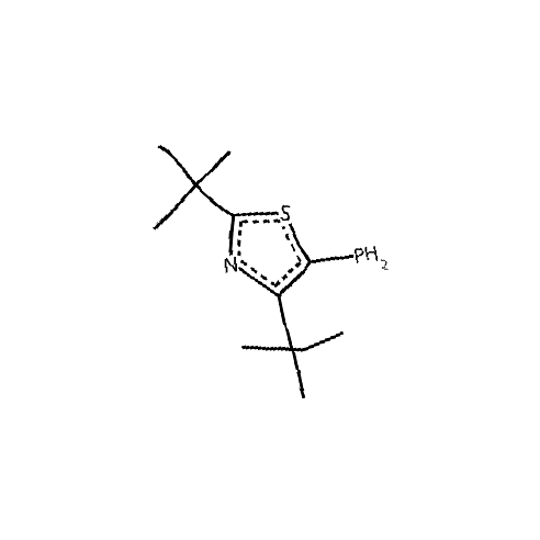 CC(C)(C)c1nc(C(C)(C)C)c(P)s1